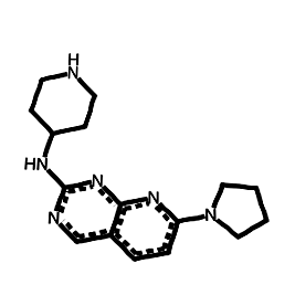 c1cc2cnc(NC3CCNCC3)nc2nc1N1CCCC1